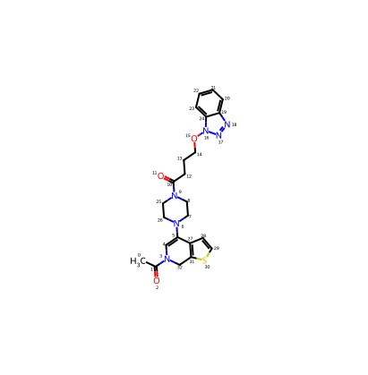 CC(=O)N1C=C(N2CCN(C(=O)CCCOn3nnc4ccccc43)CC2)c2ccsc2C1